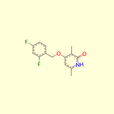 Cc1cc(OCc2ccc(F)cc2F)c(C)c(=O)[nH]1